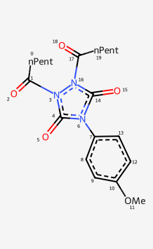 CCCCCC(=O)n1c(=O)n(-c2ccc(OC)cc2)c(=O)n1C(=O)CCCCC